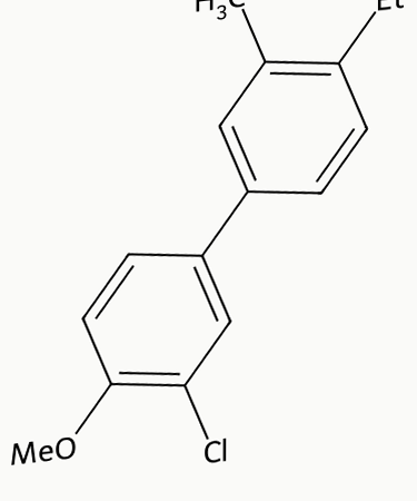 CCc1ccc(-c2ccc(OC)c(Cl)c2)cc1C